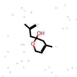 C=C(C)CC1(O)CC(C)=CCO1